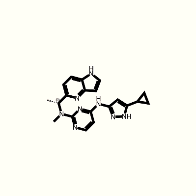 C[C@H](c1ccc2[nH]ccc2n1)N(C)c1nccc(Nc2cc(C3CC3)[nH]n2)n1